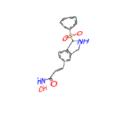 O=C(C=Cc1ccc2c(c1)CNC2S(=O)(=O)c1ccccc1)NO